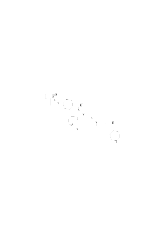 CCOC(=O)Nc1ccc(C(=O)N(CCN2CCC(C(=O)c3ccc(F)cc3)CC2)c2cccnc2)cc1